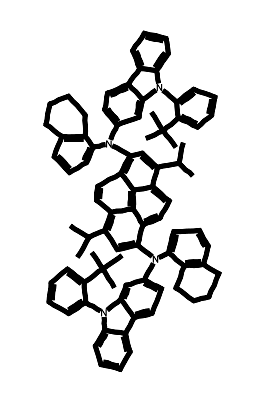 CC(C)c1cc(N(c2ccc3c4ccccc4n(-c4ccccc4C(C)(C)C)c3c2)c2cccc3c2CCCC3)c2ccc3c(C(C)C)cc(N(c4ccc5c6ccccc6n(-c6ccccc6C(C)(C)C)c5c4)c4cccc5c4CCCC5)c4ccc1c2c34